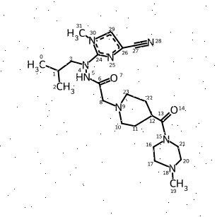 CC(C)CN(NC(=O)CN1CCC(C(=O)N2CCN(C)CC2)CC1)c1nc(C#N)cn1C